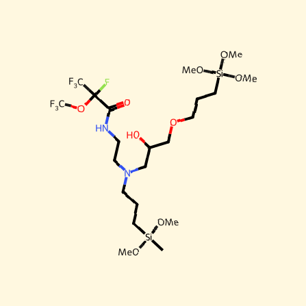 CO[Si](C)(CCCN(CCNC(=O)C(F)(OC(F)(F)F)C(F)(F)F)CC(O)COCCC[Si](OC)(OC)OC)OC